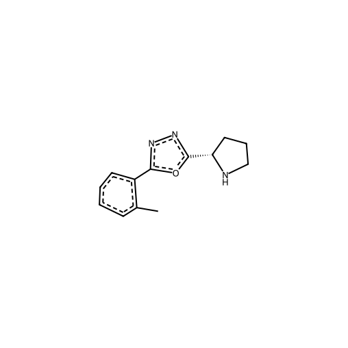 Cc1ccccc1-c1nnc([C@@H]2CCCN2)o1